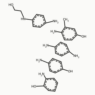 Cc1cc(O)ccc1N.Nc1ccc(N)cc1.Nc1ccc(NCCO)cc1.Nc1ccc(O)cc1.Nc1ccccc1O